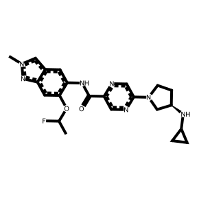 CC(F)Oc1cc2nn(C)cc2cc1NC(=O)c1cnc(N2CC[C@@H](NC3CC3)C2)cn1